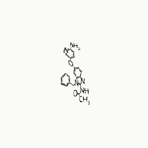 CC(=O)Nc1nc2ccc(Oc3ccc(N)nc3)cc2n1Cc1ccccc1